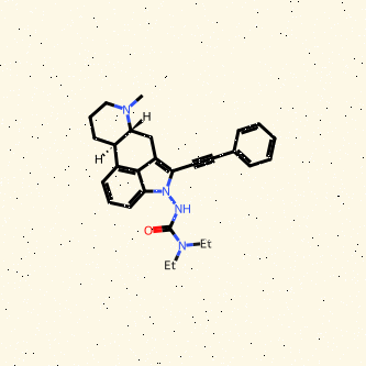 CCN(CC)C(=O)Nn1c(C#Cc2ccccc2)c2c3c(cccc31)[C@H]1CCCN(C)[C@@H]1C2